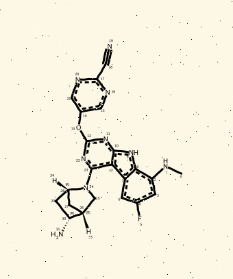 CNc1cc(F)cc2c1[nH]c1nc(Oc3cnc(C#N)nc3)nc(N3C[C@H]4C[C@@H]3C[C@H]4N)c12